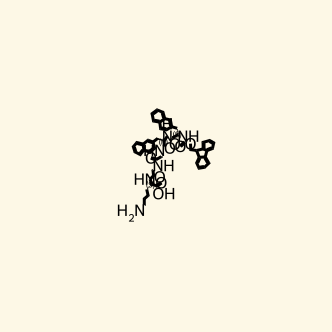 NCCCC[C@H](NC(=O)CNC(=O)CNC(=O)[C@@H](Cc1ccc2ccccc2c1)NC(=O)[C@H](Cc1ccc2ccccc2c1)NC(=O)OCC1c2ccccc2-c2ccccc21)C(=O)O